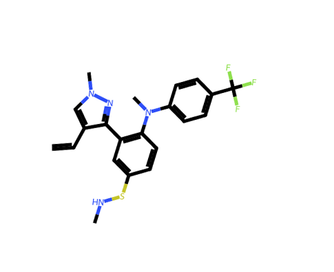 C=Cc1cn(C)nc1-c1cc(SNC)ccc1N(C)c1ccc(C(F)(F)F)cc1